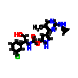 Cc1cnc(NC2CC2)nc1-c1c[nH]c(OC(=O)NC(CO)c2cccc(Cl)c2)c1